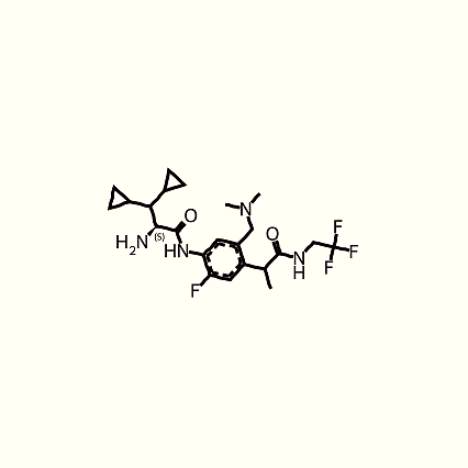 CC(C(=O)NCC(F)(F)F)c1cc(F)c(NC(=O)[C@@H](N)C(C2CC2)C2CC2)cc1CN(C)C